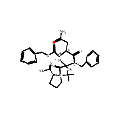 CC(C)(C)[N+]1(C(=O)C(N)(O)[C@H](Cc2ccccc2)C(=O)[C@H](CC(N)=O)NC(=O)OCc2ccccc2)CCC[C@H]1C(N)=O